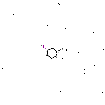 C[C@H]1CCC[C@H](I)C1